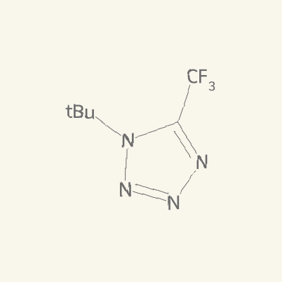 CC(C)(C)n1nnnc1C(F)(F)F